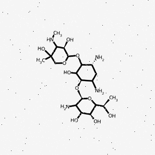 CNC1[C@@H](O)C(OC2C(O)[C@H](O[C@H]3OC([C@@H](C)O)[C@@H](O)C(O)C3N)C(N)C[C@H]2N)OCC1(C)O